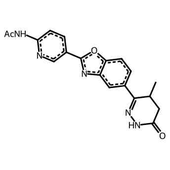 CC(=O)Nc1ccc(-c2nc3cc(C4=NNC(=O)CC4C)ccc3o2)cn1